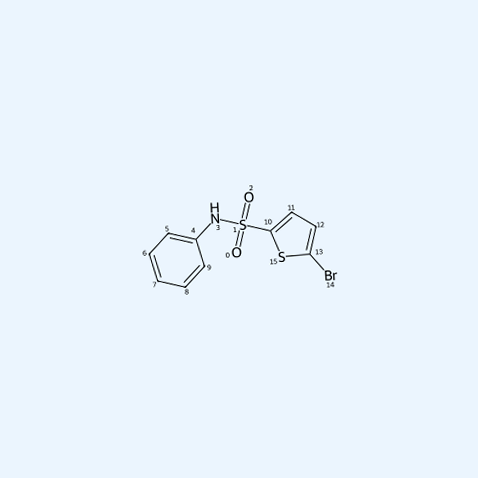 O=S(=O)(Nc1ccccc1)c1ccc(Br)s1